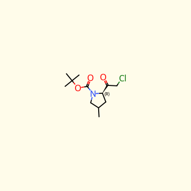 CC1C[C@H](C(=O)CCl)N(C(=O)OC(C)(C)C)C1